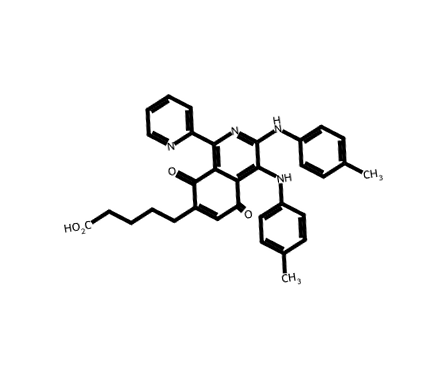 Cc1ccc(Nc2nc(-c3ccccn3)c3c(c2Nc2ccc(C)cc2)C(=O)C=C(CCCCC(=O)O)C3=O)cc1